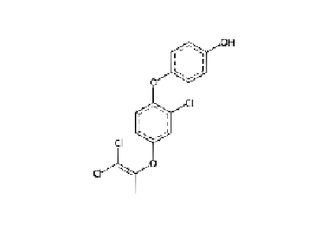 CC(Oc1ccc(Oc2ccc(O)cc2)c(Cl)c1)=C(Cl)Cl